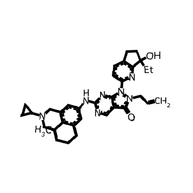 C=CCn1c(=O)c2cnc(Nc3cc4c5c(c3)CN(C3CC3)CC5(C)CCC4)nc2n1-c1ccc2c(n1)C(O)(CC)CC2